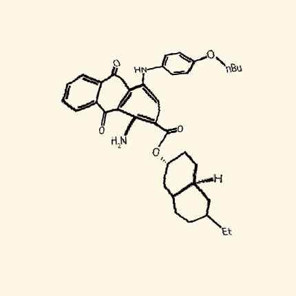 CCCCOc1ccc(Nc2cc(C(=O)O[C@@H]3CC[C@@H]4CC(CC)CCC4C3)c(N)c3c2C(=O)c2ccccc2C3=O)cc1